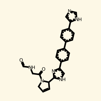 O=CNCC(=O)N1CC=CC1c1nc(-c2ccc(-c3ccc(-c4cnc[nH]4)cc3)cc2)c[nH]1